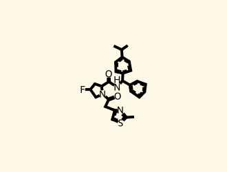 Cc1nc(CC(=O)N2CC(F)CC2C(=O)NC(c2ccccc2)c2ccc(C(C)C)cc2)cs1